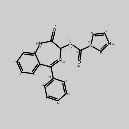 O=C1Nc2ccccc2C(c2ccccc2)=NC1NC(=O)n1ccnc1